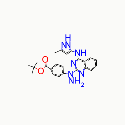 Cc1cc(Nc2nc(N(N)c3ccc(C(=O)OC(C)(C)C)cc3)nc3ccccc23)[nH]n1